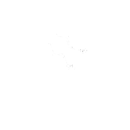 Cc1c[c]ccc1N=O